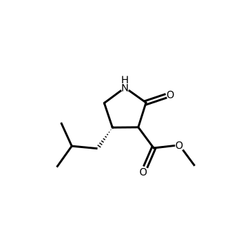 COC(=O)C1C(=O)NC[C@H]1CC(C)C